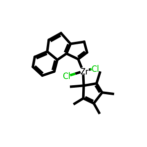 CC1=C(C)[C](C)([Zr]([Cl])([Cl])[C]2=CCc3ccc4ccccc4c32)C(C)=C1C